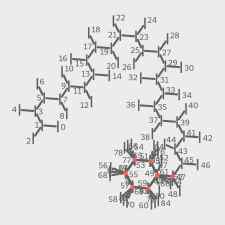 II(I)I(I)I(I)I(I)I(I)I(I)I(I)I(I)I(I)I(I)I(I)I(I)I(I)I(I)I(I)I(I)I(I)I(I)I(I)I(I)I(I)I(I)I(I)I(I)I(I)I(I)I(I)I(I)I(I)I(I)I(I)I(I)I(I)I(I)I(I)I(I)I(I)I(I)I(I)I(I)I(I)I(I)I(I)I